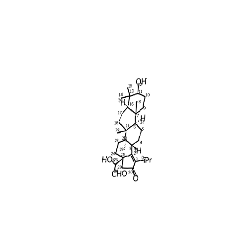 CC(C)C1=C2[C@H]3CC[C@@H]4[C@@]5(C)CC[C@H](O)C(C)(C)[C@@H]5CC[C@@]4(C)[C@]3(C)CC[C@@]2(C(O)C=O)CC1=O